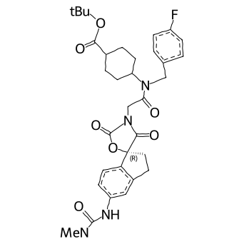 CNC(=O)Nc1ccc2c(c1)CC[C@@]21OC(=O)N(CC(=O)N(Cc2ccc(F)cc2)C2CCC(C(=O)OC(C)(C)C)CC2)C1=O